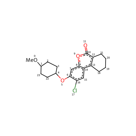 COC1CCC(Oc2cc3oc(=O)c4c(c3cc2Cl)CCCC4)CC1